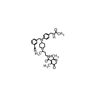 CC(=O)NCc1ccc(N(Cc2cccc(C#N)c2)C2CCN(C(C)CCNC(=O)C3=C(C)C(=O)CN=C3C)CC2)cc1